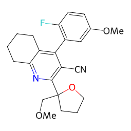 COCC1(c2nc3c(c(-c4cc(OC)ccc4F)c2C#N)CCCC3)CCCO1